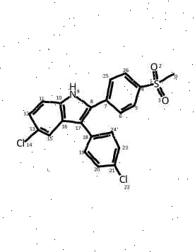 CS(=O)(=O)c1ccc(-c2[nH]c3ccc(Cl)cc3c2-c2ccc(Cl)cc2)cc1